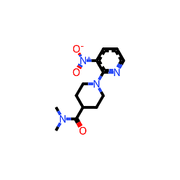 CN(C)C(=O)C1CCN(c2ncccc2[N+](=O)[O-])CC1